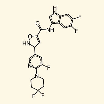 O=C(Nc1c[nH]c2cc(F)c(F)cc12)C1=CC(c2cnc(N3CCC(F)(F)CC3)c(F)c2)NO1